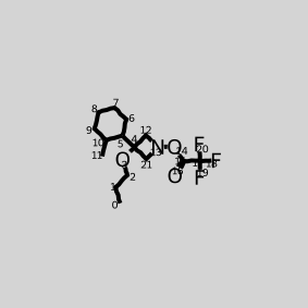 CCCOC1(C2CCCCC2C)CN(OC(=O)C(F)(F)F)C1